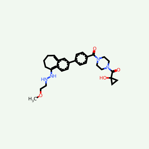 COCCNNC1=c2ccc(-c3ccc(C(=O)N4CCN(C(=O)C5(O)CC5)CC4)cc3)cc2=CCCC1